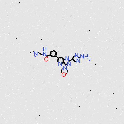 CN(C)CCNC(=O)c1cccc(-c2cnc3c(N4CCOCC4)nc(-c4cnc(N)nc4)nc3c2)c1